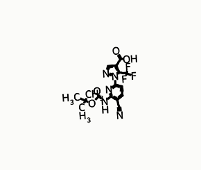 CC(C)(C)OC(=O)Nc1nc(-n2ncc(C(=O)O)c2C(F)(F)F)ccc1C#N